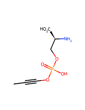 CC#COP(=O)(O)OC[C@H](N)C(=O)O